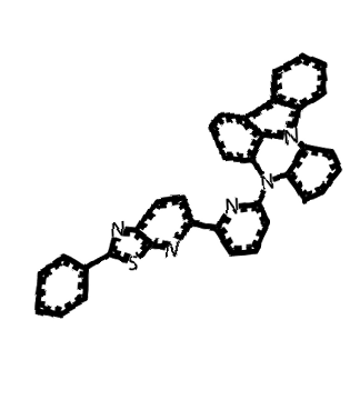 c1ccc(-c2nc3ccc(-c4cccc(N5c6ccccc6-n6c7ccccc7c7cccc5c76)n4)nc3s2)cc1